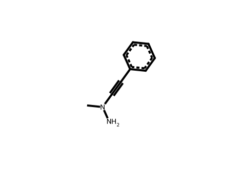 CN(N)C#Cc1ccccc1